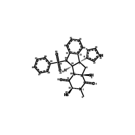 CN1C(=O)[C@@]2(S)C[C@]3(c4cc[nH]c4)c4ccccc4N(S(=O)(=O)c4ccccc4)[C@@H]3N2C(=O)[C@@H]1S